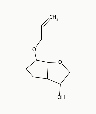 C=CCOC1CCC2C(O)COC12